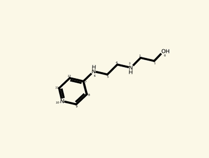 OCCNCCNc1ccncc1